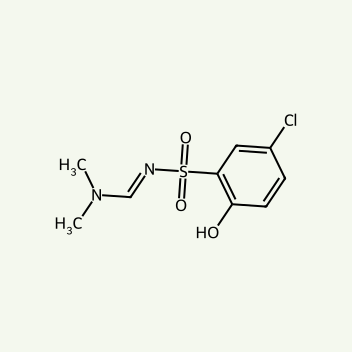 CN(C)C=NS(=O)(=O)c1cc(Cl)ccc1O